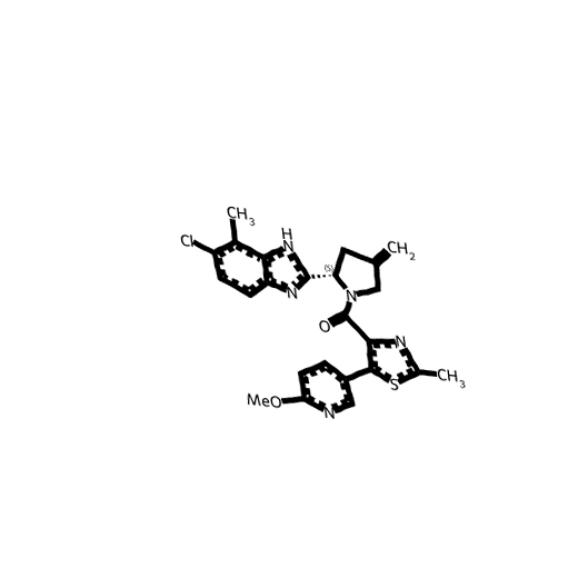 C=C1C[C@@H](c2nc3ccc(Cl)c(C)c3[nH]2)N(C(=O)c2nc(C)sc2-c2ccc(OC)nc2)C1